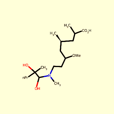 CCCC(C)(O)C(O)N(C)CCC(C[C@@H](C)CC(C)C(=O)O)OC